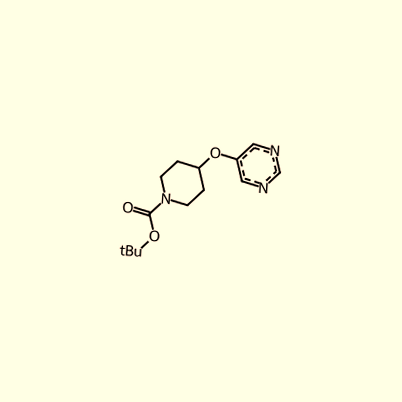 CC(C)(C)OC(=O)N1CCC(Oc2cncnc2)CC1